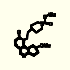 COc1ccc2ncc3ccc(=O)n(CCC4CCN(C(=O)OC(C)(C)C)CC4)c3c2c1